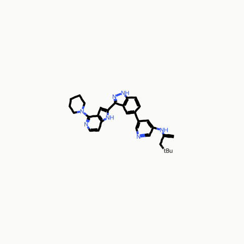 C=C(CC(C)(C)C)Nc1cncc(-c2ccc3[nH]nc(-c4cc5c(N6CCCCC6)nccc5[nH]4)c3c2)c1